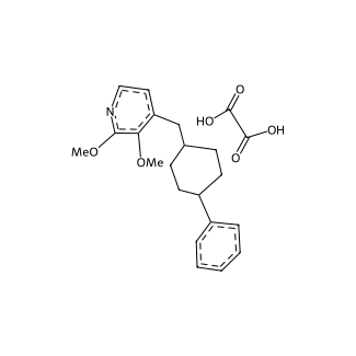 COc1nccc(CC2CCC(c3ccccc3)CC2)c1OC.O=C(O)C(=O)O